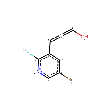 OC=C=Cc1cc(Br)cnc1F